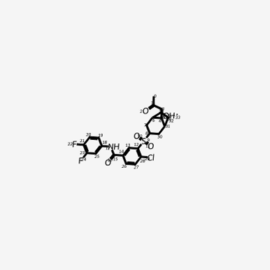 CC(=O)C[C@@]1(O)C2CC(S(=O)(=O)c3cc(C(=O)Nc4ccc(F)c(F)c4)ccc3Cl)CC1[C@@H](C)C2